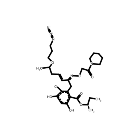 CC[C@@H](C)OC(=O)c1c(O)cc(O)c(Cl)c1CC(/C=C/CC(C)OCCCN=[N+]=[N-])=N\OCC(=O)N1CCCCC1